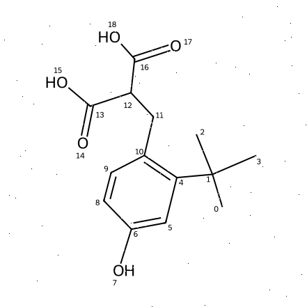 CC(C)(C)c1cc(O)ccc1CC(C(=O)O)C(=O)O